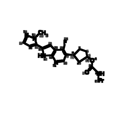 CC(C)NC(=O)O[C@@H]1CC[C@H](c2cnc3[nH]c(-c4ccnn4C)cc3c2F)C1